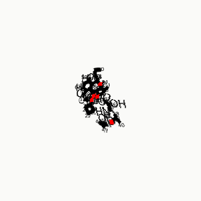 C=CC1O[C@H]2C[C@H]3OC[C@@]3(OC(C)=O)[C@H]3[C@H](OC(=O)c4ccccc4)[C@]4(C(C)(C)O)CC(OC(=O)[C@H](O)[C@H](CC(C)C)NC(=O)OC(C)(C)C)C(C)=C4[C@H](C)[C@H](O1)[C@]23C